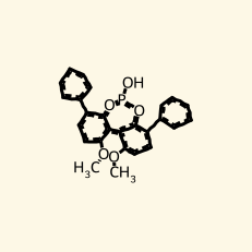 COc1ccc(-c2ccccc2)c2op(O)oc3c(-c4ccccc4)ccc(OC)c3c12